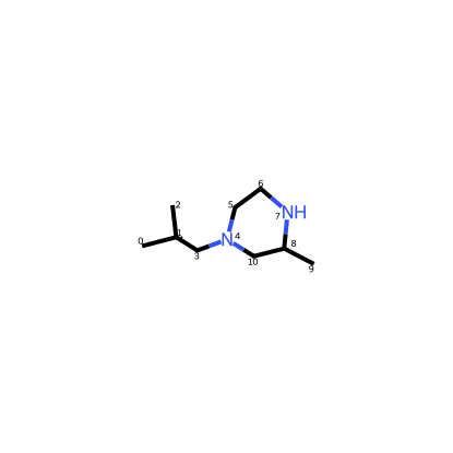 C[C](C)CN1CCNC(C)C1